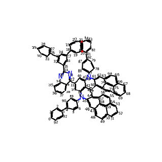 c1ccc(-c2ccc(N3c4cc(-c5nc(-c6cc(-c7ccccc7)cc(-c7ccccc7)c6)nc6ccccc56)cc5c4B(c4c3cc3ccc6cccc7ccc4c3c67)c3c(cc4ccc6cccc7ccc3c4c67)N5c3ccc(-c4ccccc4)cc3)cc2)cc1